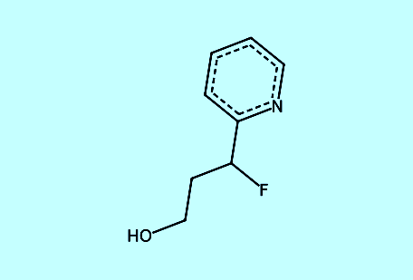 OCCC(F)c1ccccn1